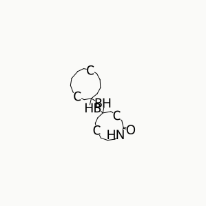 CC1(BBC2(C)CCCCCCNC(=O)CCC2)CCCCCCCCCCCC1